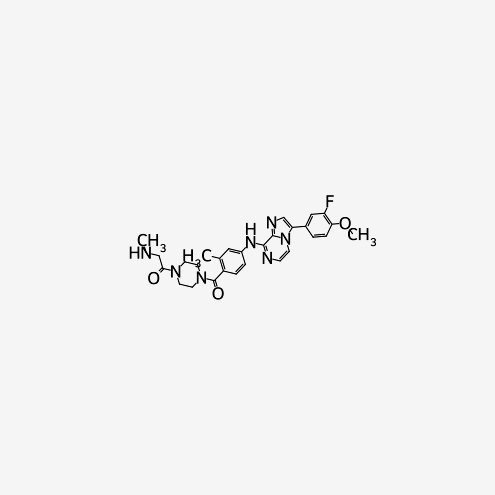 CNCC(=O)N1CCN(C(=O)c2ccc(Nc3nccn4c(-c5ccc(OC)c(F)c5)cnc34)cc2C)CC1